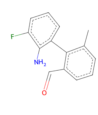 Cc1cccc(C=O)c1-c1cccc(F)c1N